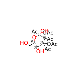 CC(=O)O[C@@]1(C(C)=O)[C@@H](O)[C@@H](CO)OC(O)(C(C)=O)[C@@]1(OC(C)=O)C(C)=O